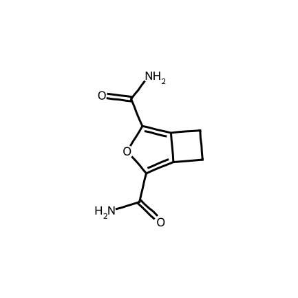 NC(=O)c1oc(C(N)=O)c2c1CC2